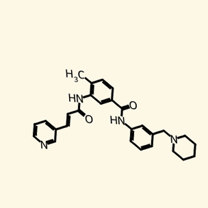 Cc1ccc(C(=O)Nc2cccc(CN3CCCCC3)c2)cc1NC(=O)/C=C/c1cccnc1